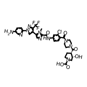 Cn1c(-c2cn(-c3ccc(N)cn3)nc2C(F)(F)F)cnc1C(=O)Nc1ccc(C(=O)N2CCN(C(=O)[C@@H]3CCN(C(=O)O)C[C@H]3O)CC2)c(Cl)c1